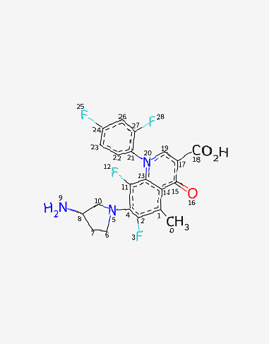 Cc1c(F)c(N2CCC(N)C2)c(F)c2c1c(=O)c(C(=O)O)cn2-c1ccc(F)cc1F